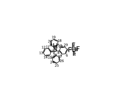 F[B-](F)(F)F.c1ccc([PH](c2ccccc2)(c2ccccc2)c2ccccc2)cc1